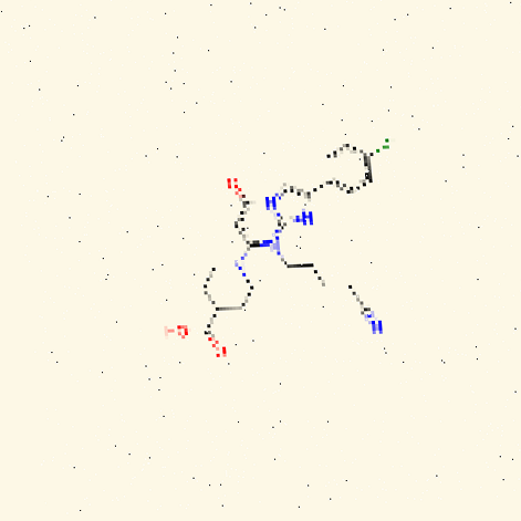 N#CCCCCn1c(N2CCC(C(=O)O)CC2)cc(=O)n2cc(-c3ccc(Cl)cc3)nc12